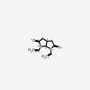 C=CN1C(=O)CC2CC(=O)N(C=C)C21